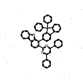 c1ccc(-c2cc(-c3ccccc3)nc(-c3ccc4c(sc5ccccc54)c3-c3ccc4c(c3)C(c3ccccc3)(c3ccccc3)c3ccccc3-4)n2)cc1